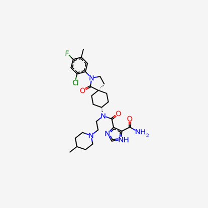 Cc1cc(N2CC[C@]3(CC[C@@H](N(CCN4CCC(C)CC4)C(=O)c4nc[nH]c4C(N)=O)CC3)C2=O)c(Cl)cc1F